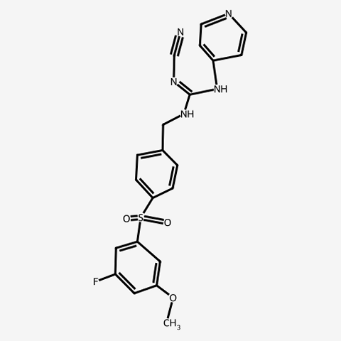 COc1cc(F)cc(S(=O)(=O)c2ccc(CNC(=NC#N)Nc3ccncc3)cc2)c1